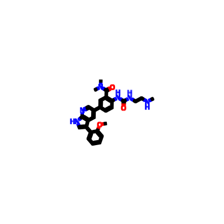 CNCCNC(=O)Nc1ccc(-c2cnc3[nH]cc(-c4ccccc4OC)c3c2)cc1C(=O)N(C)C